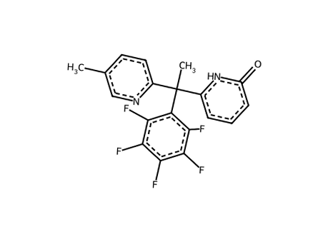 Cc1ccc(C(C)(c2cccc(=O)[nH]2)c2c(F)c(F)c(F)c(F)c2F)nc1